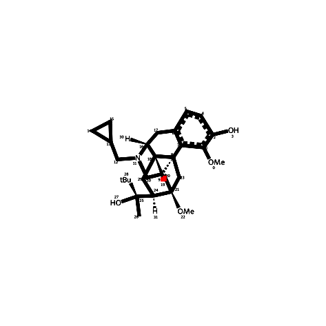 COc1c(O)ccc2c1[C@]13CCN(CC4CC4)[C@H](C2)[C@]12CC[C@](OC)(C3)[C@@H]([C@](C)(O)C(C)(C)C)C2